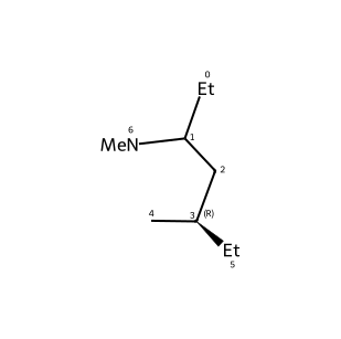 CCC(C[C@H](C)CC)NC